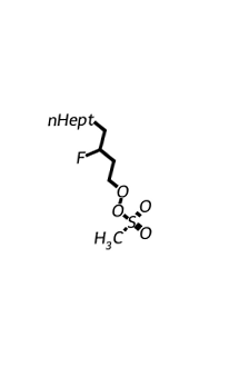 CCCCCCCCC(F)CCOOS(C)(=O)=O